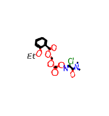 CCOc1ccccc1C(=O)OCOC(=O)ON=C(Cl)C(=O)N(C)C